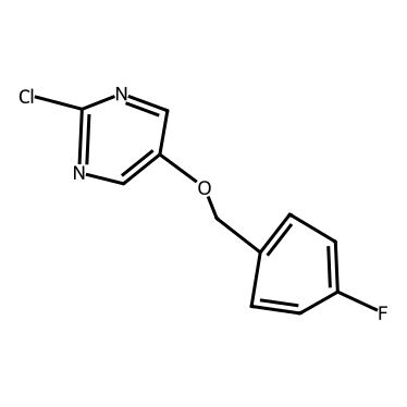 Fc1ccc(COc2cnc(Cl)nc2)cc1